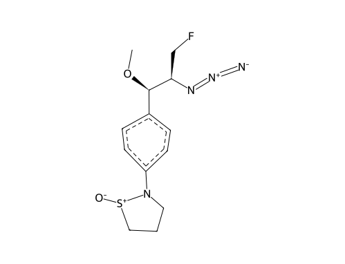 CO[C@H](c1ccc(N2CCC[S+]2[O-])cc1)[C@@H](CF)N=[N+]=[N-]